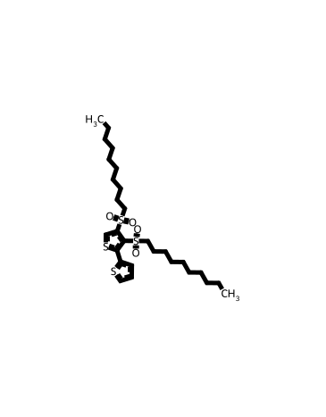 CCCCCCCCCCS(=O)(=O)c1csc(-c2cccs2)c1S(=O)(=O)CCCCCCCCCC